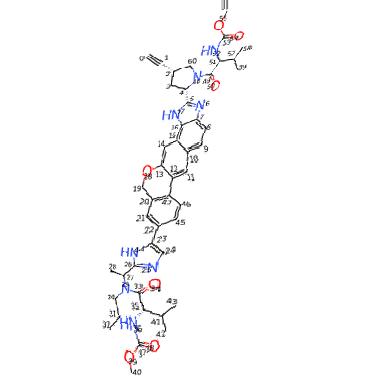 C#C[C@H]1C[C@@H](c2nc3ccc4cc5c(cc4c3[nH]2)OCc2cc(-c3cnc([C@H](C)N(CCC)C(=O)[C@@H](NC(=O)OC)C(C)C)[nH]3)ccc2-5)N(C(=O)[C@@H](NC(=O)OC)C(C)C)C1